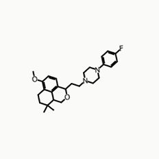 COc1ccc2c3c1CCC(C)(C)C3COC2CCN1CCN(c2ccc(F)cc2)CC1